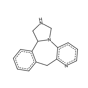 c1ccc2c(c1)Cc1ncccc1N1CNCC21